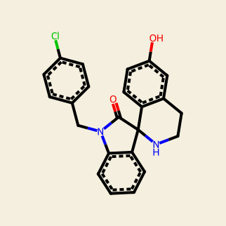 O=C1N(Cc2ccc(Cl)cc2)c2ccccc2C12NCCc1cc(O)ccc12